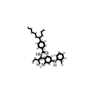 CCCCCC(CCC)c1ccc(C(=O)N/C(=C(/C)CC)c2ccc(Nc3ccccc3C)cc2N)cc1